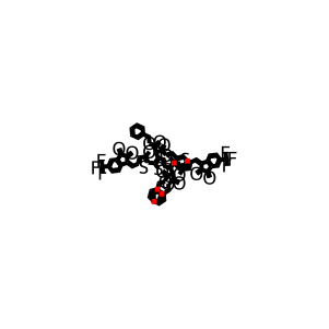 O=C1C(=O)c2cc(C(F)(F)F)ccc2/C1=C/c1cc2c(s1)-c1sc3c4c(sc3c1C(C(=O)OCc1ccccc1)(C(=O)OCc1ccccc1)O2)-c1sc(/C=C2\C(=O)C(=O)c3cc(C(F)(F)F)ccc32)cc1OC4(C(=O)OCc1ccccc1)C(=O)OCc1ccccc1